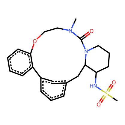 CN1CCOc2ccccc2-c2cccc(c2)CC2C(NS(C)(=O)=O)CCCN2C1=O